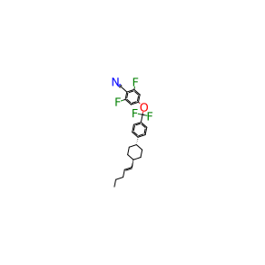 CCCC=C[C@H]1CC[C@H](c2ccc(C(F)(F)Oc3cc(F)c(C#N)c(F)c3)cc2)CC1